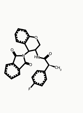 C[C@H](C(=O)NC1COc2ccccc2C1N1C(=O)c2ccccc2C1=O)c1ccc(F)cc1